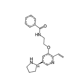 C=Cc1ncc([C@H]2CCCN2)cc1OCCNC(=O)c1ccccc1